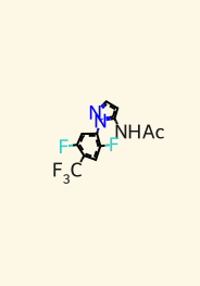 CC(=O)Nc1ccnn1-c1cc(F)c(C(F)(F)F)cc1F